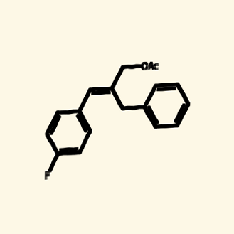 CC(=O)OCC(=Cc1ccc(F)cc1)Cc1ccccc1